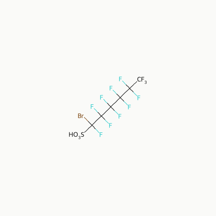 O=S(=O)(O)C(F)(Br)C(F)(F)C(F)(F)C(F)(F)C(F)(F)C(F)(F)F